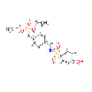 CCOP(=O)(Cc1ccc(CNS(=O)(=O)c2ccc(O)cc2)cc1)OCC